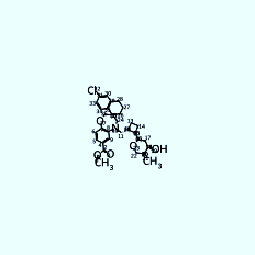 COC(=O)c1ccc2c(c1)N(C[C@@H]1CC[C@H]1[C@H]1C[C@@H](O)[C@H](C)CO1)C[C@@]1(CCCc3cc(Cl)ccc31)CO2